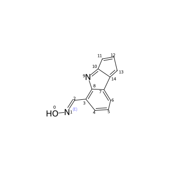 O/N=C/c1cccc2c1N=C1C=CC=C12